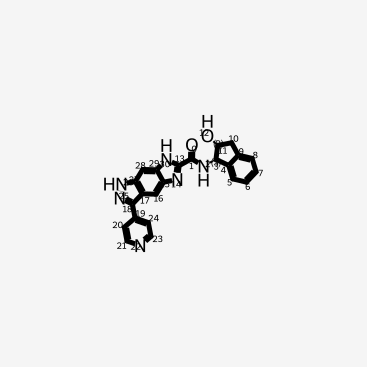 O=C(N[C@H]1c2ccccc2C[C@H]1O)c1nc2cc3c(-c4ccncc4)n[nH]c3cc2[nH]1